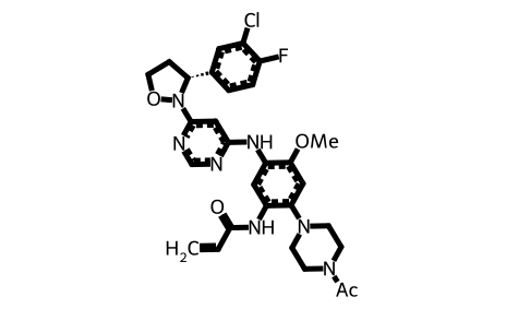 C=CC(=O)Nc1cc(Nc2cc(N3OCC[C@@H]3c3ccc(F)c(Cl)c3)ncn2)c(OC)cc1N1CCN(C(C)=O)CC1